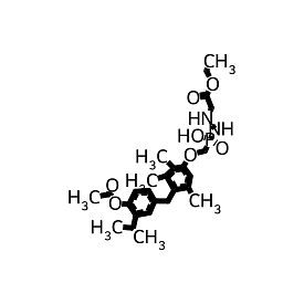 CCOC(=O)CNNP(=O)(O)COc1cc(C)c(Cc2ccc(OC(C)=O)c(C(C)C)c2)c(C)c1C